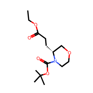 CCOC(=O)CC[C@@H]1COCCN1C(=O)OC(C)(C)C